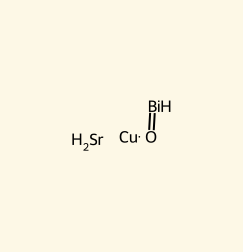 [Cu].[O]=[BiH].[SrH2]